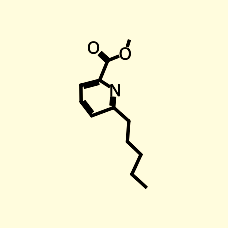 CCCCCc1cccc(C(=O)OC)n1